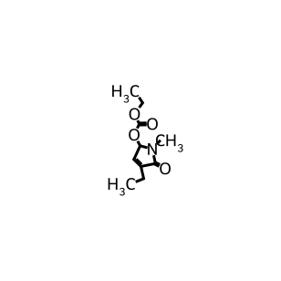 CCOC(=O)OC1C=C(CC)C(=O)N1C